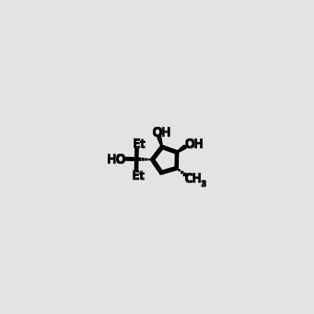 CCC(O)(CC)[C@H]1C[C@@H](C)[C@H](O)[C@@H]1O